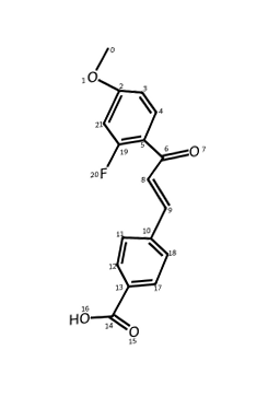 COc1ccc(C(=O)C=Cc2ccc(C(=O)O)cc2)c(F)c1